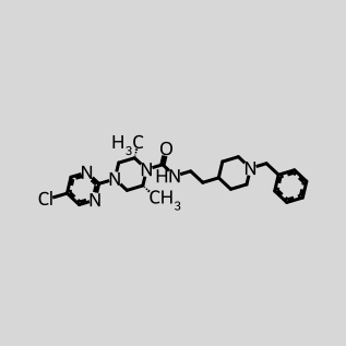 C[C@@H]1CN(c2ncc(Cl)cn2)C[C@H](C)N1C(=O)NCCC1CCN(Cc2ccccc2)CC1